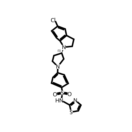 O=S(=O)(Nc1nccs1)c1ccc(N2CC[C@H](N3CCc4cc(Cl)ccc43)C2)cc1